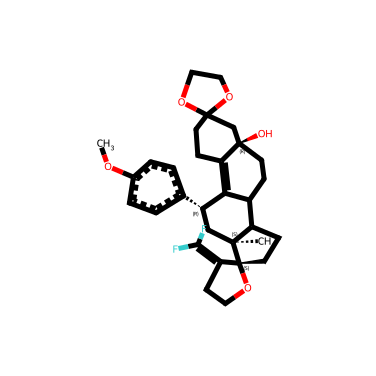 COc1ccc([C@H]2C[C@@]3(C)C(CC[C@]34OCCC4=C(F)F)C3CC[C@@]4(O)CC5(CCC4=C32)OCCO5)cc1